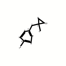 CC1(Cc2ccc(I)cc2)CC1